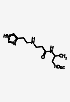 CCCCCCCCCCCC(C)NC(=O)CCNCCc1c[nH]cn1